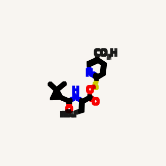 CCCCC=C(NC(=O)C1CC1(C)C)C(=O)OSc1ccc(C(=O)O)cn1